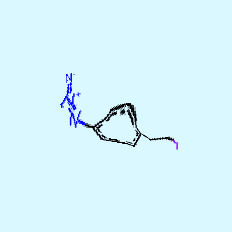 [N-]=[N+]=Nc1ccc(CI)cc1